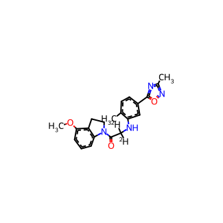 [2H]C([2H])(Nc1cc(-c2nc(C)no2)ccc1C)C(=O)N1CCc2c(OC)cccc21